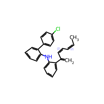 C=C(/C=C\C=C/C)c1ccccc1Nc1ccccc1-c1ccc(Cl)cc1